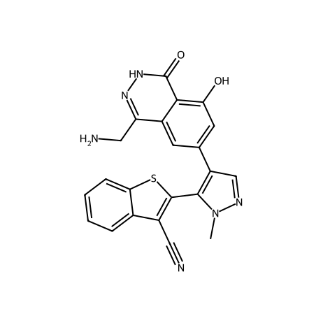 Cn1ncc(-c2cc(O)c3c(=O)[nH]nc(CN)c3c2)c1-c1sc2ccccc2c1C#N